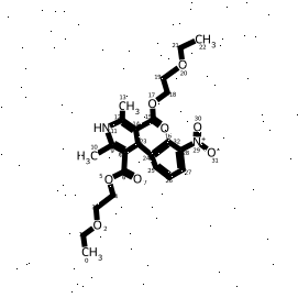 CCOCCOC(=O)C1=C(C)NC(C)=C(C(=O)OCCOCC)C1c1cccc([N+](=O)[O-])c1